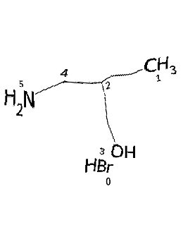 Br.CC(O)CN